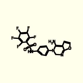 NC1=c2ccoc2=NCN1c1ccc(NS(=O)(=O)c2c(F)c(F)c(F)c(F)c2F)cc1